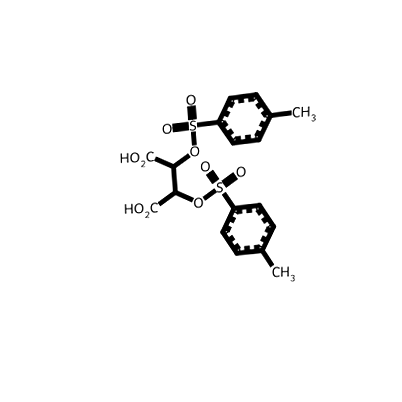 Cc1ccc(S(=O)(=O)OC(C(=O)O)C(OS(=O)(=O)c2ccc(C)cc2)C(=O)O)cc1